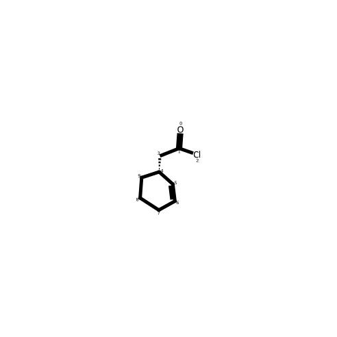 O=C(Cl)C[C@@H]1C=CCCC1